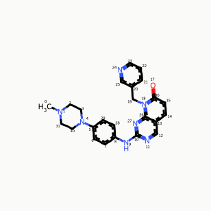 CN1CCN(c2ccc(Nc3ncc4ccc(=O)n(Cc5cccnc5)c4n3)cc2)CC1